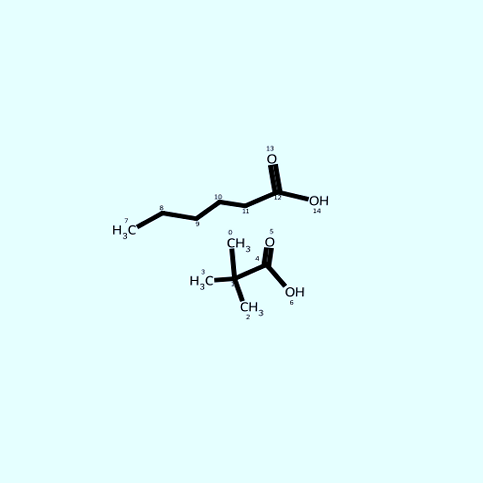 CC(C)(C)C(=O)O.CCCCCC(=O)O